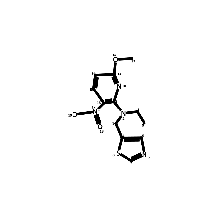 CCN(Cc1cncs1)c1nc(OC)ccc1[N+](=O)[O-]